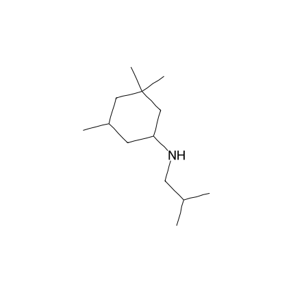 CC(C)CNC1CC(C)CC(C)(C)C1